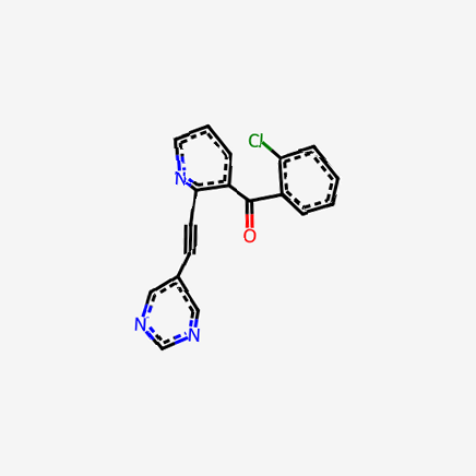 O=C(c1ccccc1Cl)c1cccnc1C#Cc1cncnc1